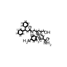 CC(CN(C(CO)CCCNC(=O)[CH]C(c1ccccc1)c1ccccc1)S(=O)(=O)c1ccc(N)cc1)C(N)=O